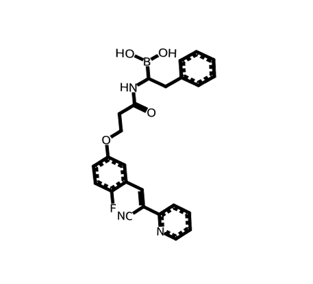 N#CC(=Cc1cc(OCCC(=O)NC(Cc2ccccc2)B(O)O)ccc1F)c1ccccn1